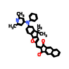 Cc1cc(N(c2ccccc2)c2ccc3c(c2)C(C)(C)c2cc(C=C4C(=O)c5cc6ccccc6cc5C4=O)oc2-3)cc(C)n1